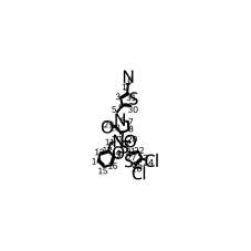 N#Cc1cc(CN2CC[C@H](N(Cc3ccccc3)S(=O)(=O)c3cc(Cl)c(Cl)s3)C2=O)cs1